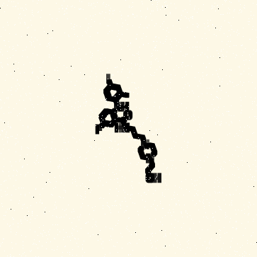 Cc1cc(I)ccc1Nc1ccc(F)cc1C(=O)NCCCN1CCN(CCO)CC1